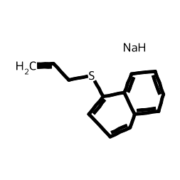 C=CCSc1cccc2ccccc12.[NaH]